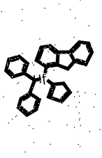 C1=CC[C]([Hf]([c]2cccc3c2Cc2ccccc2-3)[CH](c2ccccc2)c2ccccc2)=C1